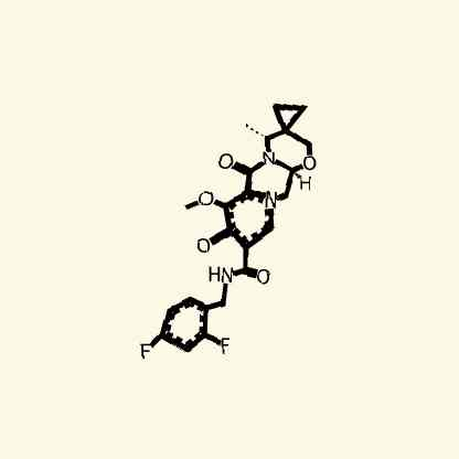 COc1c2n(cc(C(=O)NCc3ccc(F)cc3F)c1=O)C[C@@H]1OCC3(CC3)[C@@H](C)N1C2=O